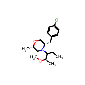 CCC([C@@H](C)OC)N1C[C@H](C)OC[C@@H]1Cc1ccc(Cl)cc1